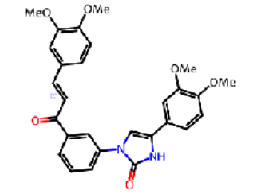 COc1ccc(/C=C/C(=O)c2cccc(-n3cc(-c4ccc(OC)c(OC)c4)[nH]c3=O)c2)cc1OC